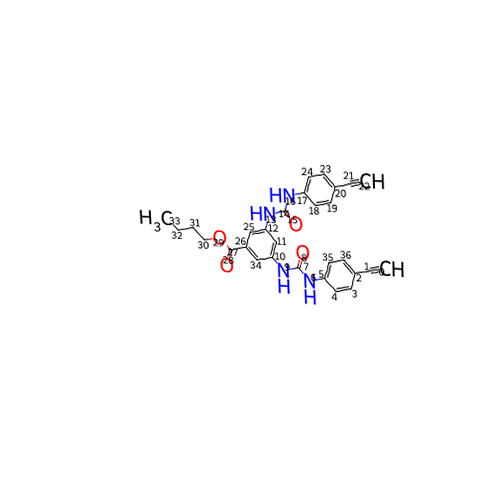 C#Cc1ccc(NC(=O)Nc2cc(NC(=O)Nc3ccc(C#C)cc3)cc(C(=O)OCCCC)c2)cc1